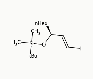 CCCCCC[C@@H](/C=C/I)O[Si](C)(C)C(C)(C)C